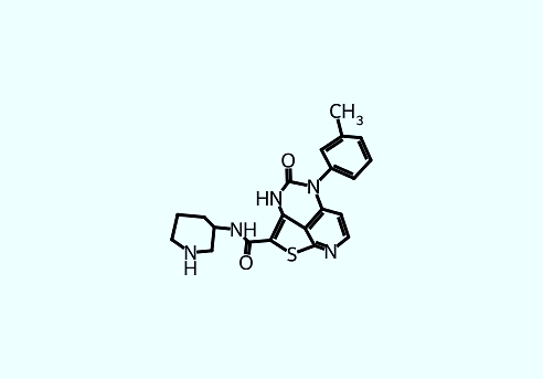 Cc1cccc(N2C(=O)Nc3c(C(=O)NC4CCCNC4)sc4nccc2c34)c1